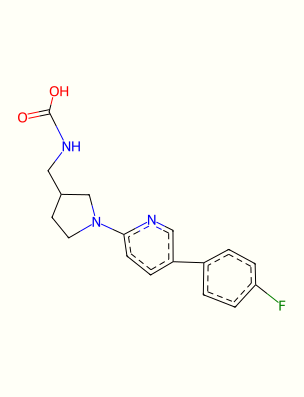 O=C(O)NCC1CCN(c2ccc(-c3ccc(F)cc3)cn2)C1